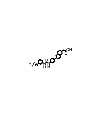 COc1cccc(NC(=O)Nc2ccc(-c3ccc4c(c3)CCC(CC(=O)O)C4)cc2)c1